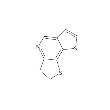 c1cc2cnc3c(c2s1)SCC3